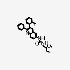 CCC(CNC(=O)Nc1ccc2nc(-c3ccccc3)c(-c3ccccc3F)cc2c1)OC